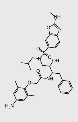 CNc1nc2ccc(S(=O)(=O)N(CC(C)C)CC(O)C(Cc3ccccc3)NC(=O)COc3c(C)cc(N)cc3C)cc2o1